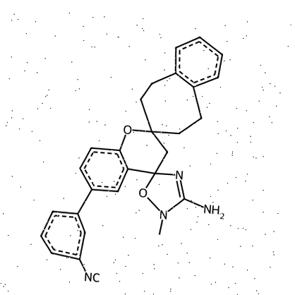 [C-]#[N+]c1cccc(-c2ccc3c(c2)C2(CC4(CCc5ccccc5CC4)O3)N=C(N)N(C)O2)c1